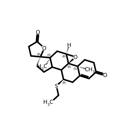 CCS[C@@H]1CC2=CC(=O)CC[C@]2(C)[C@@]23O[C@@H]2C[C@@]2(C)C(CC[C@@]24CCC(=O)O4)C13